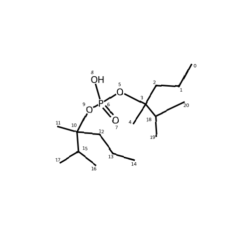 CCCC(C)(OP(=O)(O)OC(C)(CCC)C(C)C)C(C)C